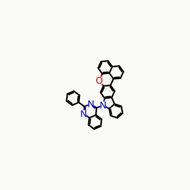 c1ccc(-c2nc(-n3c4ccccc4c4cc5c(cc43)Oc3cccc4cccc-5c34)c3ccccc3n2)cc1